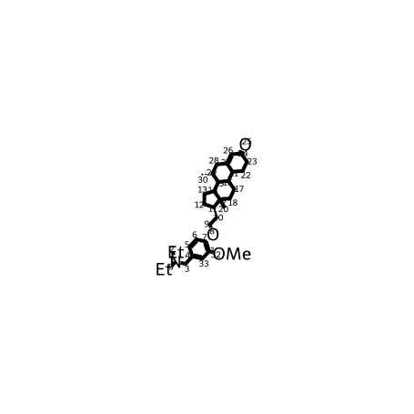 CCN(CC)Cc1ccc(OCC[C@H]2CCC3C4C(CCC32C)C2CCC(=O)C=C2C[C@H]4C)c(OC)c1